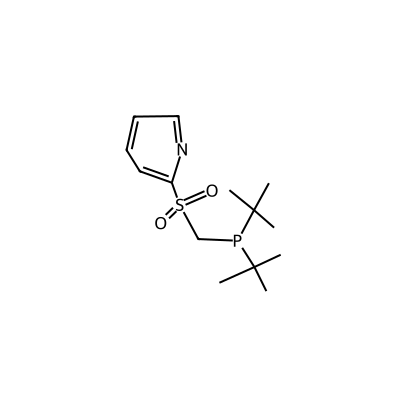 CC(C)(C)P(CS(=O)(=O)c1ccccn1)C(C)(C)C